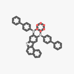 c1ccc(-c2ccc(N(c3ccccc3)c3cc4sc5ccc6ccccc6c5c4cc3N(c3ccccc3)c3ccc(-c4ccccc4)cc3)cc2)cc1